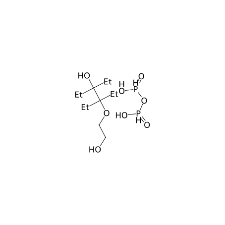 CCC(O)(CC)C(CC)(CC)OCCO.O=[PH](O)O[PH](=O)O